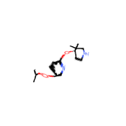 CC(C)Oc1ccc(O[C@@H]2CCNCC2(C)C)nc1